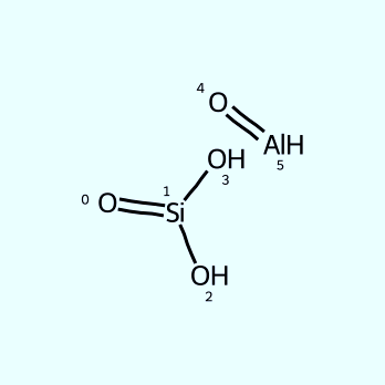 O=[Si](O)O.[O]=[AlH]